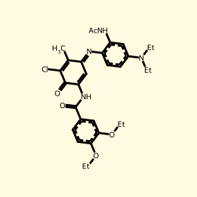 CCOc1ccc(C(=O)NC2=C/C(=N\c3ccc(N(CC)CC)cc3NC(C)=O)C(C)=C(Cl)C2=O)cc1OCC